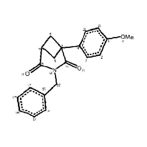 COc1ccc(C23CC(C2)C(=O)N(Cc2ccccc2)C3=O)cc1